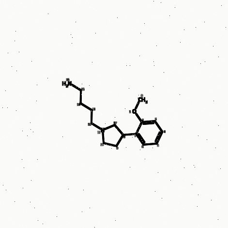 COc1ccccc1C1CCN(CCCCN)C1